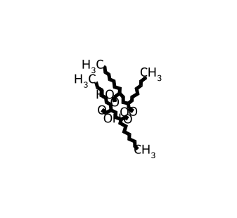 CCCCCCCCC(CCC(CCCCCCCC)C(=O)OC(=O)C(CCCCCCCC)CCC(CCCCCCCC)C(=O)O)C(=O)O